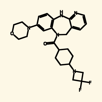 O=C(C1CCC(N2CC(F)(F)C2)CC1)N1Cc2cccnc2Nc2ccc(N3CCOCC3)cc21